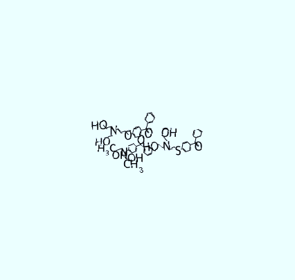 CC(O)CN(CC(C)O)c1ccc(C(=O)c2ccccc2)cc1.O=C(c1ccccc1)c1ccc(OCCCN(CCO)CCO)cc1.O=C(c1ccccc1)c1ccc(SCCN(CCO)CCO)cc1